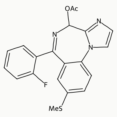 CSc1ccc2c(c1)C(c1ccccc1F)=NC(OC(C)=O)c1nccn1-2